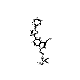 CC(C)(C)[Si](C)(C)OCCn1cc(I)c2cc(-c3ncn(-c4ncccn4)n3)ccc21